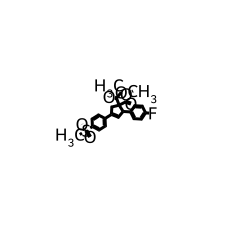 COC(=O)C1(C(=O)OC)CC(c2ccc(S(C)(=O)=O)cc2)=CC1c1ccc(F)cc1